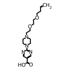 C=CCCOCCOCCN1CCN(c2ncc(C(=O)O)cn2)CC1